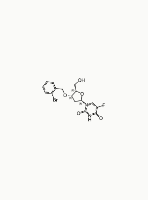 O=c1[nH]c(=O)n([C@H]2C[C@H](OCc3ccccc3Br)[C@@H](CO)O2)cc1F